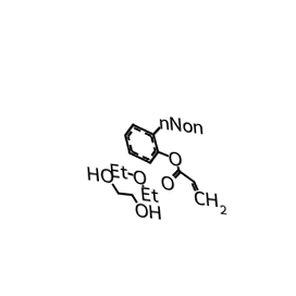 C=CC(=O)Oc1ccccc1CCCCCCCCC.CCOCC.OCCO